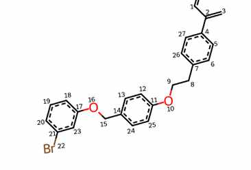 C=CC(=C)c1ccc(CCOc2ccc(COc3cccc(Br)c3)cc2)cc1